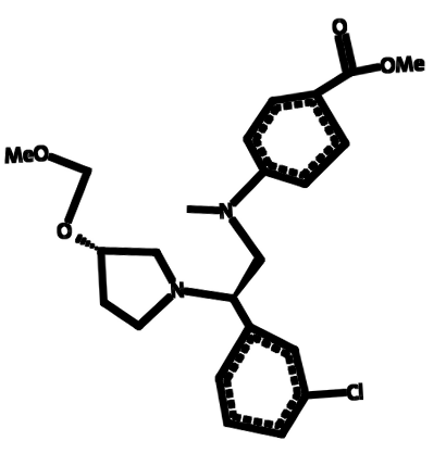 COCO[C@H]1CCN([C@@H](CN(C)c2ccc(C(=O)OC)cc2)c2cccc(Cl)c2)C1